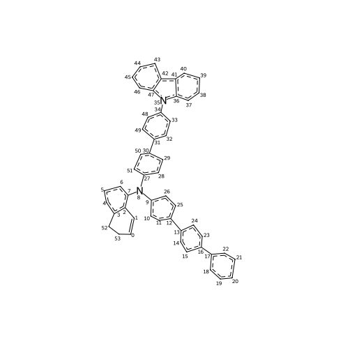 C1=Cc2c(cccc2N(c2ccc(-c3ccc(-c4ccccc4)cc3)cc2)c2ccc(-c3ccc(-n4c5ccccc5c5ccccc54)cc3)cc2)CC1